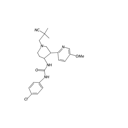 COc1ccc(C2CN(CC(C)(C)C#N)CCC2NC(=O)Nc2ccc(Cl)cc2)nc1